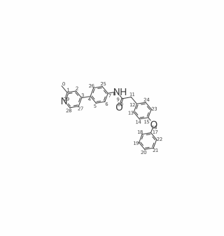 Cc1cc(-c2ccc(NC(=O)Cc3ccc(Oc4ccccc4)cc3)cc2)ccn1